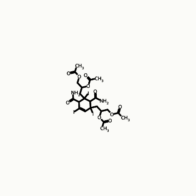 CC(=O)OCC(CC1(I)C=C(I)C(C(N)=O)C(I)(CC(COC(C)=O)OC(C)=O)C1C(N)=O)OC(C)=O